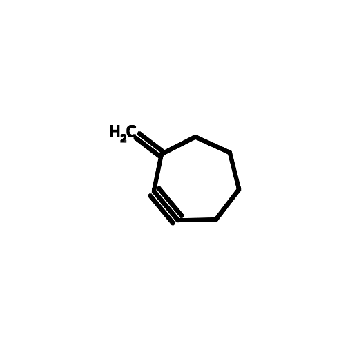 C=C1C#CCCCC1